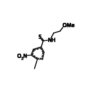 COCCNC(=S)c1ccc(C)c([N+](=O)[O-])c1